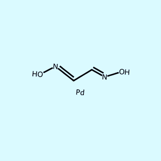 O/N=C/C=N/O.[Pd]